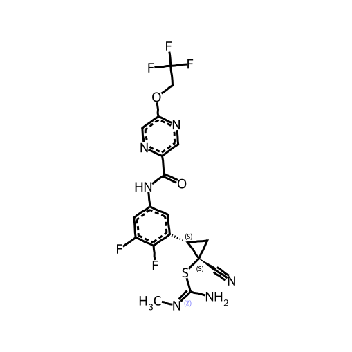 C/N=C(/N)S[C@@]1(C#N)C[C@H]1c1cc(NC(=O)c2cnc(OCC(F)(F)F)cn2)cc(F)c1F